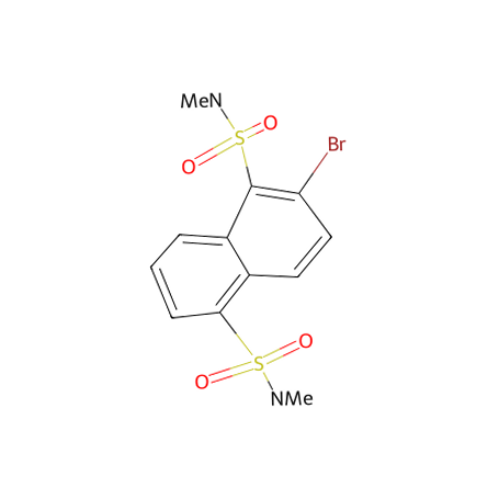 CNS(=O)(=O)c1cccc2c(S(=O)(=O)NC)c(Br)ccc12